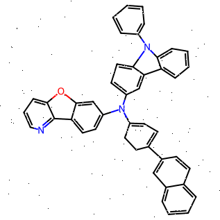 C1=C(c2ccc3ccccc3c2)CCC(N(c2ccc3c(c2)oc2cccnc23)c2ccc3c(c2)c2ccccc2n3-c2ccccc2)=C1